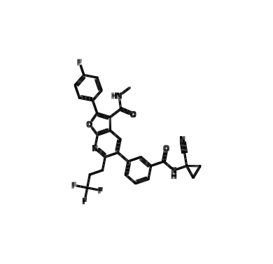 CNC(=O)c1c(-c2ccc(F)cc2)oc2nc(CCC(F)(F)F)c(-c3cccc(C(=O)NC4(C#N)CC4)c3)cc12